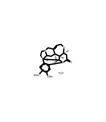 COc1cc2c(cc1OC)[C@@]13CCN4CC5=CCO[C@H]6CC(=O)N2[C@H]1[C@H]6[C@H]5C[C@H]43.O